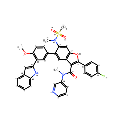 COc1ccc(-c2cc3c(C(=O)N(C)c4cccnc4)c(-c4ccc(F)cc4)oc3cc2N(C)S(C)(=O)=O)cc1-c1cc2ccccc2[nH]1